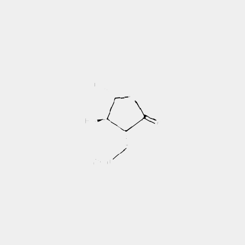 CCCCCC[C@H]1C(=O)O[C@@H](C)[C@@H]1O